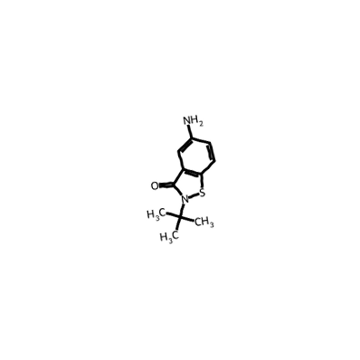 CC(C)(C)n1sc2ccc(N)cc2c1=O